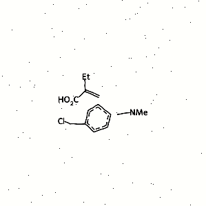 C=C(CC)C(=O)O.CNC.ClCc1ccccc1